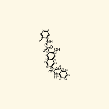 Cc1ccccc1NOS(=O)(=O)c1cc2ccc(S(=O)(=O)Nc3ccccc3C)cc2cc1O